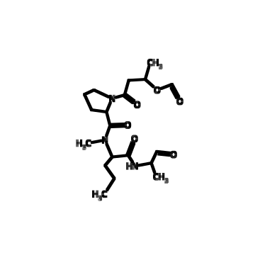 CCCC(C(=O)NC(C)C=O)N(C)C(=O)C1CCCN1C(=O)CC(C)OC=O